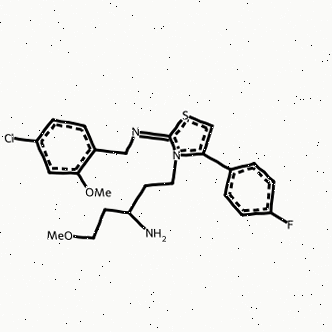 COCCC(N)CCn1c(-c2ccc(F)cc2)cs/c1=N/Cc1ccc(Cl)cc1OC